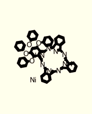 [Ni].c1ccc(Oc2c(Oc3ccccc3)c(Oc3ccccc3)c3c4nc5nc(nc6[nH]c(nc7nc(nc([nH]4)c3c2Oc2ccccc2)-c2ccccc2-7)c2ccccc62)-c2ccccc2-5)cc1